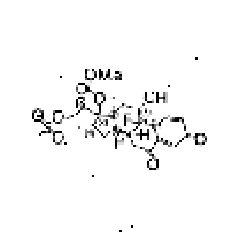 COC(=O)O[C@]1(C(=O)COS(C)(=O)=O)[C@@H](C)C[C@H]2[C@@H]3CC(=O)C4=CC(=O)C=C[C@]4(C)[C@@]3(F)[C@@H](O)C[C@@]21C